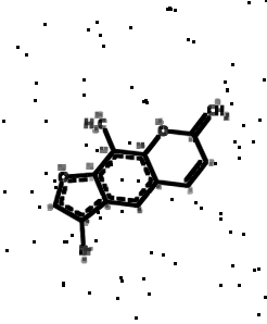 C=C1C=Cc2cc3c(Br)coc3c(C)c2O1